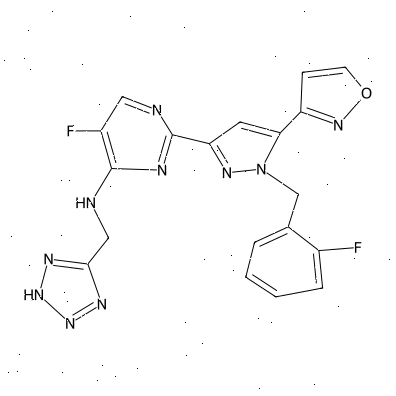 Fc1ccccc1Cn1nc(-c2ncc(F)c(NCc3nn[nH]n3)n2)cc1-c1ccon1